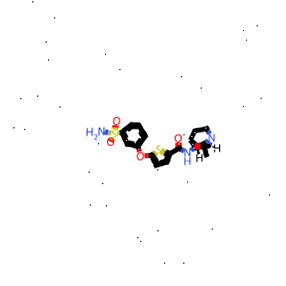 C[C@H]1[C@H](NC(=O)c2ccc(Oc3cccc(S(N)(=O)=O)c3)s2)C2CCN1CC2